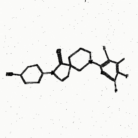 Cc1c(F)c(F)nc(N2CCCC3(CCN(C4CCC(O)CC4)C3=O)C2)c1F